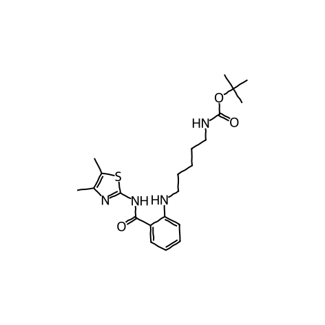 Cc1nc(NC(=O)c2ccccc2NCCCCCNC(=O)OC(C)(C)C)sc1C